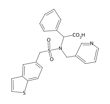 O=C(O)C(c1ccccc1)N(Cc1cccnc1)S(=O)(=O)Cc1ccc2sccc2c1